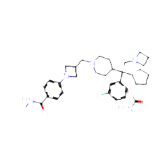 CNC(=O)c1ccc(N2CC(CN3CCC([C@@](CN4CCC4)(c4cccc(F)c4)[C@H]4CCC[C@@H]4OC(N)=O)CC3)C2)cc1